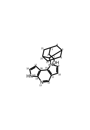 OC12CC3CC(C1)C(n1ccc4cnc5[nH]ccc5c41)C(C3)C2